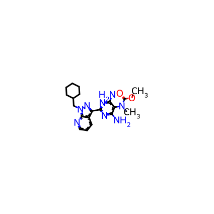 COC(=O)N(C)c1c(N)nc(-c2nn(CC3CCCCC3)c3ncccc23)nc1N